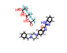 O=C(O)C(F)(F)F.O=C(O)C(F)(F)F.O=C(O)C(F)(F)F.c1ccc(CN2CCN(c3ccc4nc(-c5nc6ccccc6[nH]5)oc4c3)CC2)cc1